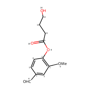 COc1cc(C=O)ccc1OC(=O)CCCO